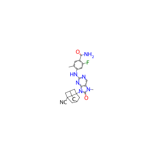 Cc1cc(C(N)=O)c(F)cc1Nc1ncc2c(n1)n(C13CC4CC5(C#N)CC(C1)C53C4)c(=O)n2C